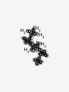 Cc1ccc([Si](c2ccc(C)cc2)(c2ccc(C)cc2)c2ccc(-c3ccc(N(c4ccc(-c5cc(C(C)C)c6ccc7c(-c8ccc(N(c9ccc(-c%10ccc([Si](c%11ccccc%11)(c%11ccccc%11)c%11ccccc%11)cc%10)cc9)c9cccc%10c9oc9ccccc9%10)cc8)cc(C(C)C)c8ccc5c6c78)cc4)c4cccc5c4oc4ccccc45)cc3)cc2)cc1